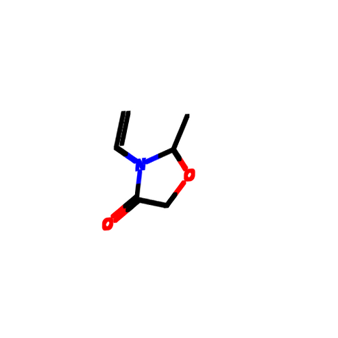 C=CN1C(=O)COC1C